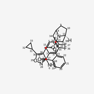 NC(=O)c1ccc(N2C3CC[C@H]2CC(OCc2c(-c4ccccc4OC(F)F)noc2C2CC2)C3)c(F)c1